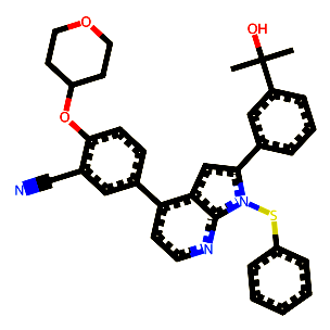 CC(C)(O)c1cccc(-c2cc3c(-c4ccc(OC5CCOCC5)c(C#N)c4)ccnc3n2Sc2ccccc2)c1